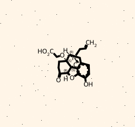 C=CCN1CC[C@]23c4c5ccc(O)c4O[C@H]2C(=O)CC[C@@]3(OCC(=O)O)[C@H]1C5